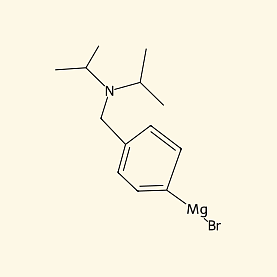 CC(C)N(Cc1cc[c]([Mg][Br])cc1)C(C)C